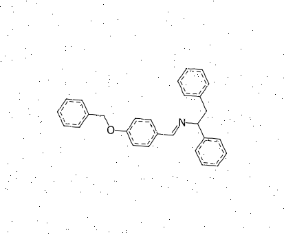 C(=NC(Cc1ccccc1)c1ccccc1)c1ccc(OCc2ccccc2)cc1